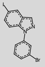 Brc1cccc(-n2ncc3cc(I)ccc32)c1